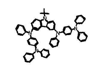 CC(C)(C)n1c2ccc(N(c3ccccc3)c3ccc(N(c4ccccc4)c4ccccc4)cc3)cc2c2cc(N(c3ccccc3)c3ccc(N(c4ccccc4)c4ccccc4)cc3)ccc21